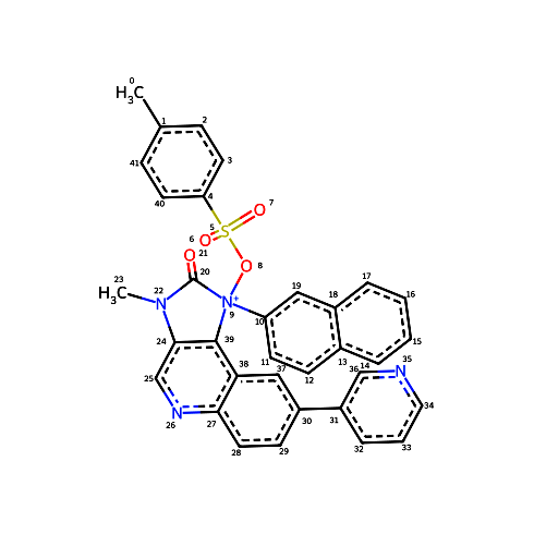 Cc1ccc(S(=O)(=O)O[N+]2(c3ccc4ccccc4c3)C(=O)N(C)c3cnc4ccc(-c5cccnc5)cc4c32)cc1